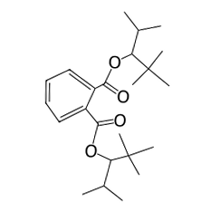 CC(C)C(OC(=O)c1ccccc1C(=O)OC(C(C)C)C(C)(C)C)C(C)(C)C